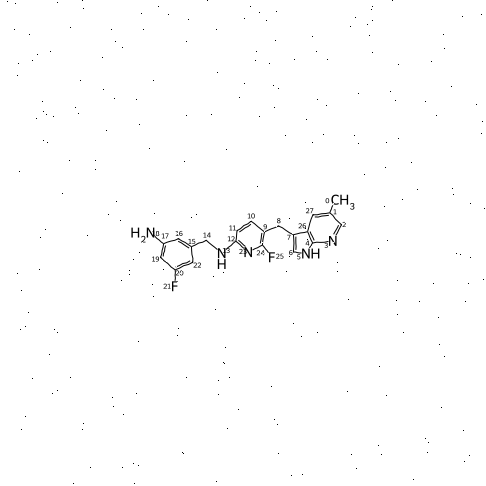 Cc1cnc2[nH]cc(Cc3ccc(NCc4cc(N)cc(F)c4)nc3F)c2c1